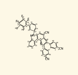 N#Cc1ccc(-c2nc3c(C#N)cc4c(-c5cccc(-c6c(F)c(F)c(F)c(F)c6F)c5)nc5ccccc5c4c3nc2-c2ccc(C#N)cc2)cc1